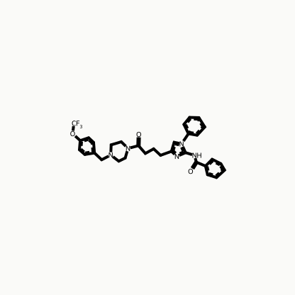 O=C(Nc1nc(CCCC(=O)N2CCN(Cc3ccc(OC(F)(F)F)cc3)CC2)cn1-c1ccccc1)c1ccccc1